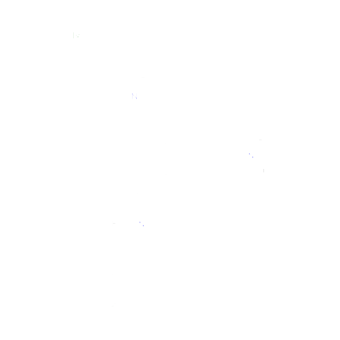 CCN(CC)c1ccc(C(c2ccc(N(CC)Cc3ccc(Br)cc3)cc2)c2ccc(N(CC)Cc3ccc(Br)cc3)cc2)cc1